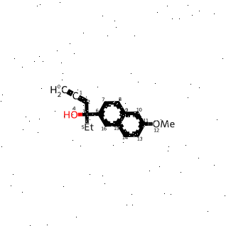 C=C=CC(O)(CC)c1ccc2cc(OC)ccc2c1